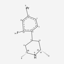 CC(C)c1ccc(C2C[C@@H](C)N[C@@H](C)C2)c(F)c1